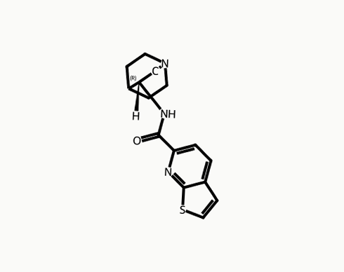 O=C(N[C@H]1CN2CCC1CC2)c1ccc2ccsc2n1